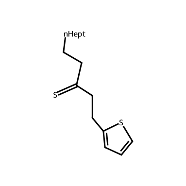 CCCCCCCCCC(=S)CCc1cccs1